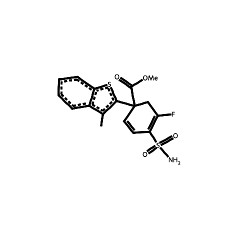 COC(=O)C1(c2sc3ccccc3c2C)C=CC(S(N)(=O)=O)=C(F)C1